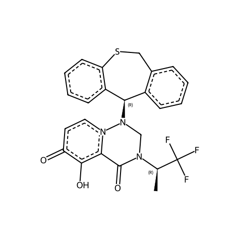 C[C@@H](N1CN([C@@H]2c3ccccc3CSc3ccccc32)n2ccc(=O)c(O)c2C1=O)C(F)(F)F